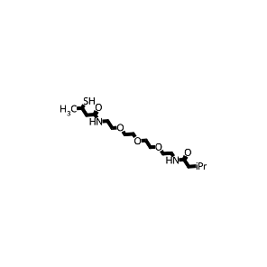 CC(C)CC(=O)NCCOCCOCCOCCNC(=O)CC(C)S